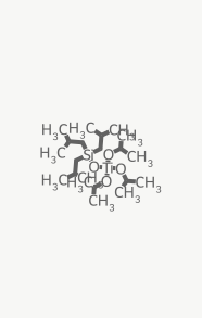 CC(C)C[Si](CC(C)C)(CC(C)C)[O][Ti]([O]C(C)C)([O]C(C)C)[O]C(C)C